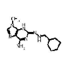 Cn1cnc2c(N)nc(=NNCC3CCCCC3)[nH]c21